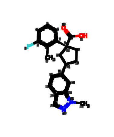 Cc1c(F)cccc1[C@]1(C(=O)O)CCC(c2ccc3cnn(C)c3c2)C1